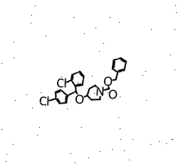 O=C(OCc1ccccc1)N1CCC(OC(c2ccc(Cl)cc2)c2ccccc2Cl)CC1